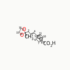 CC1(CC=CC23CCC(C(=O)O)(CC2)CC3)OCCO1